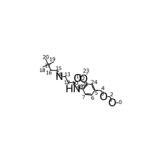 COCOCc1ccc(NC(=O)CC/N=C/CC(C)(C)C)c(OC)c1